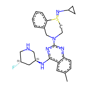 Cc1ccc2nc(N3CCS(=NC4CC4)c4ccccc4C3)nc(N[C@@H]3CNC[C@@H](F)C3)c2c1